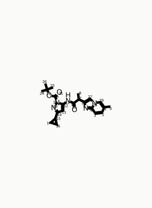 Cc1ccc2nc(C(C)C(=O)Nc3cc(C4CC4)nn3C(=O)OC(C)(C)C)cn2c1